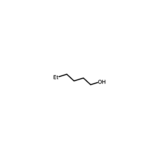 [CH2]CCCCCO